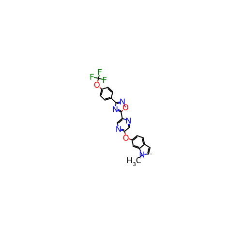 Cn1[c]cc2ccc(Oc3cnc(-c4nc(-c5ccc(OC(F)(F)F)cc5)no4)cn3)cc21